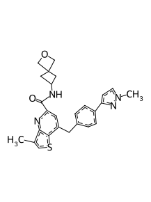 Cc1csc2c(Cc3ccc(-c4ccn(C)n4)cc3)cc(C(=O)NC3CC4(COC4)C3)nc12